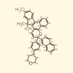 Cc1ccc2c(c1)C(C)(C)c1c3c(c4ccccc4c1-2)OC(c1ccc(N2CCOCC2)cc1)(c1ccc2ccccc2c1)C=C3